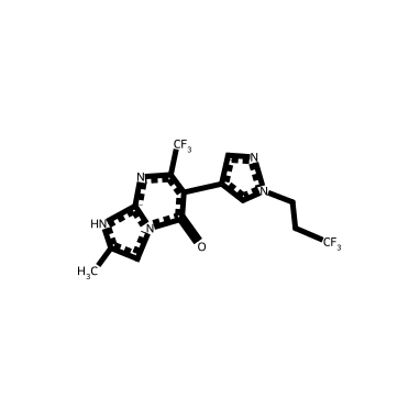 Cc1cn2c(=O)c(-c3cnn(CCC(F)(F)F)c3)c(C(F)(F)F)nc2[nH]1